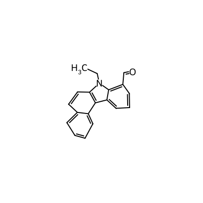 CCn1c2ccc3ccccc3c2c2cccc(C=O)c21